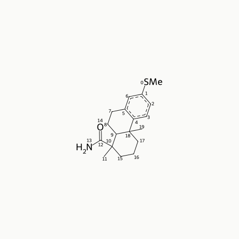 CSc1ccc2c(c1)CCC1C(C)(C(N)=O)CCCC21C